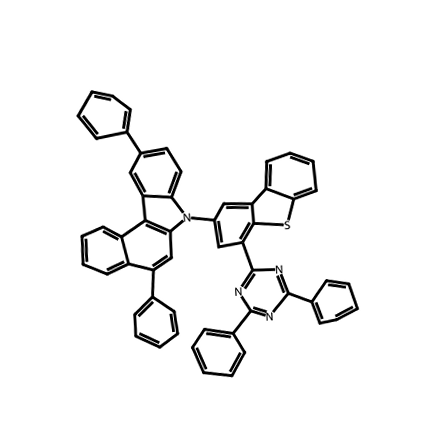 c1ccc(-c2ccc3c(c2)c2c4ccccc4c(-c4ccccc4)cc2n3-c2cc(-c3nc(-c4ccccc4)nc(-c4ccccc4)n3)c3sc4ccccc4c3c2)cc1